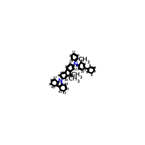 CC1C=C(C2=CCCC=C2)C=CC1N(c1ccccc1)c1ccc2c(c1)C(C)(C)c1cc(-n3c4c(c5c3C=CCC5)CCC=C4)ccc1-2